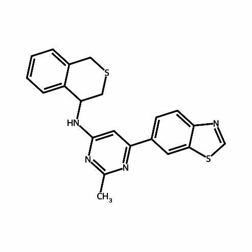 Cc1nc(NC2CSCc3ccccc32)cc(-c2ccc3ncsc3c2)n1